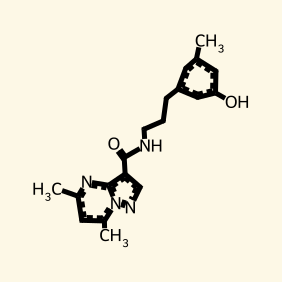 Cc1cc(O)cc(CCCNC(=O)c2cnn3c(C)cc(C)nc23)c1